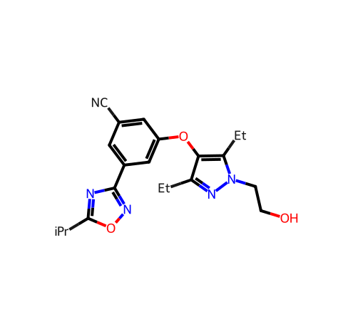 CCc1nn(CCO)c(CC)c1Oc1cc(C#N)cc(-c2noc(C(C)C)n2)c1